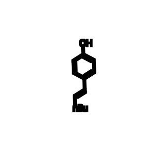 CCCCC=Cc1ccc(O)cc1